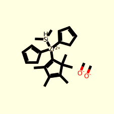 CC1=C(C)C(C)(C)[C]([Zr+2]([C]2=CC=CC2)([C]2=CC=CC2)[SiH](C)C)=C1C.C[O-].C[O-]